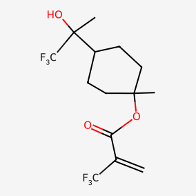 C=C(C(=O)OC1(C)CCC(C(C)(O)C(F)(F)F)CC1)C(F)(F)F